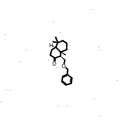 CC1(C)CCC[C@]2(C)[C@@H](COCc3ccccc3)C(=O)CC[C@@H]12